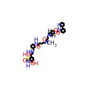 CN(CCCCC(=O)Nc1cccc(CNC[C@H](O)c2ccc(O)c3[nH]c(=O)sc23)c1)C(=O)CCN1C[C@H]2C[C@H](OC(=O)Nc3ccccc3-c3ccccc3)C[C@H]2C1